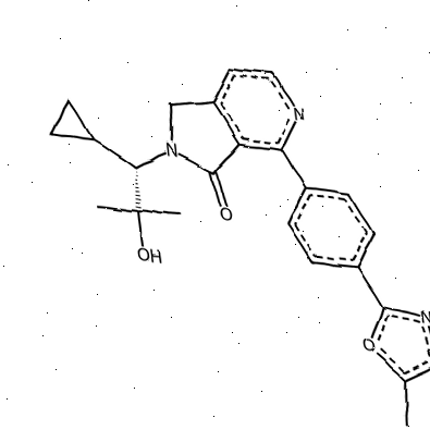 Cc1nnc(-c2ccc(-c3nccc4c3C(=O)N([C@@H](C3CC3)C(C)(C)O)C4)cc2)o1